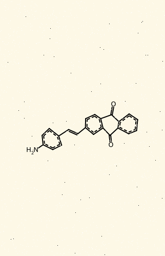 Nc1ccc(C=Cc2ccc3c(c2)C(=O)c2ccccc2C3=O)cc1